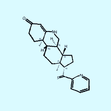 C[C@]12CC[C@H]3[C@@H](CNC4=CC(=O)CC[C@@]43C)[C@@H]1CC[C@@H]2C(=S)c1ccccn1